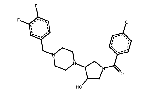 O=C(c1ccc(Cl)cc1)N1CC(O)C(N2CCN(Cc3ccc(F)c(F)c3)CC2)C1